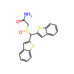 NC(=O)C[S+]([O-])C(c1cc2ccccc2s1)c1cc2ccccc2s1